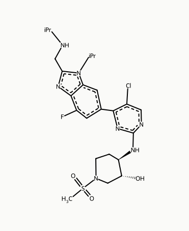 CC(C)NCc1nc2c(F)cc(-c3nc(N[C@@H]4CCN(S(C)(=O)=O)C[C@H]4O)ncc3Cl)cc2n1C(C)C